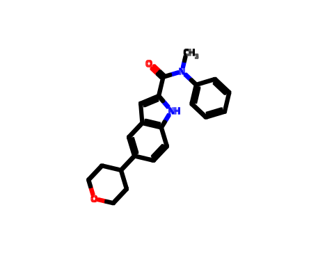 CN(C(=O)c1cc2cc(C3CCOCC3)ccc2[nH]1)c1ccccc1